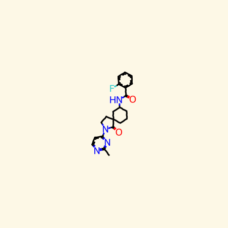 Cc1nccc(N2CCC3(CCCC(NC(=O)c4ccccc4F)C3)C2=O)n1